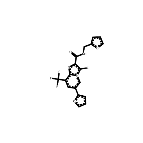 O=C(NCc1ccco1)c1nc2c(C(F)(F)F)cc(-c3ccco3)cn2c1Cl